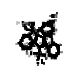 Cl.Cl.[CH2]=[Zr]([CH2]C)([C]1=C(C)C([Si](C)(C)C)=CC1C)([c]1ccccc1)[c]1cccc2c1Cc1ccccc1-2